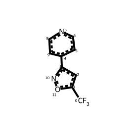 FC(F)(F)c1cc(-c2ccncc2)no1